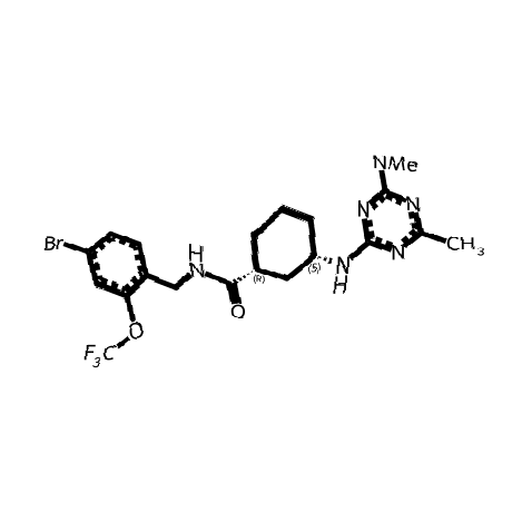 CNc1nc(C)nc(N[C@H]2CCC[C@@H](C(=O)NCc3ccc(Br)cc3OC(F)(F)F)C2)n1